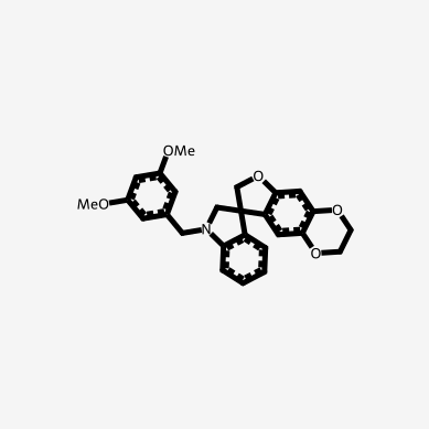 COc1cc(CN2CC3(COc4cc5c(cc43)OCCO5)c3ccccc32)cc(OC)c1